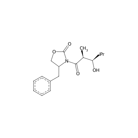 CC(C)[C@@H](O)[C@H](C)C(=O)N1C(=O)OCC1Cc1ccccc1